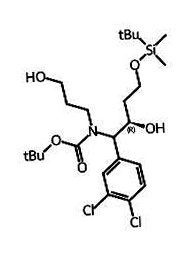 CC(C)(C)OC(=O)N(CCCO)C(c1ccc(Cl)c(Cl)c1)[C@H](O)CCO[Si](C)(C)C(C)(C)C